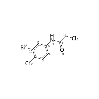 O=C(CCl)Nc1ccc(Cl)c(Br)c1